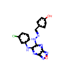 Oc1ccc(C=NNc2nc3nonc3nc2Nc2cccc(Cl)c2)cc1